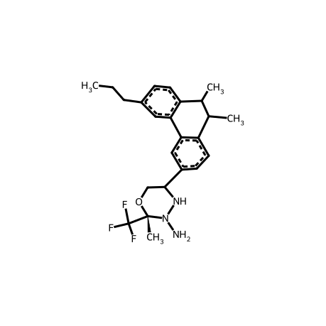 CCCc1ccc2c(c1)-c1cc(C3CO[C@@](C)(C(F)(F)F)N(N)N3)ccc1C(C)C2C